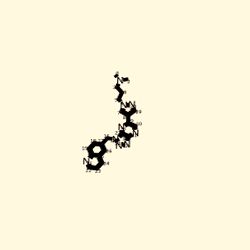 CN(C)CCCn1cc(-c2cnc3nnn(Cc4ccc5ncccc5c4)c3n2)cn1